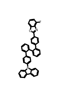 Fc1cccc2oc(-c3ccc(-c4ccccc4-c4ccccc4-c4ccc(-n5c6ccccc6c6ccccc65)cc4)cc3)nc12